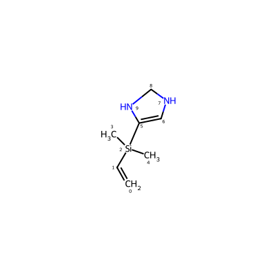 C=C[Si](C)(C)C1=CNCN1